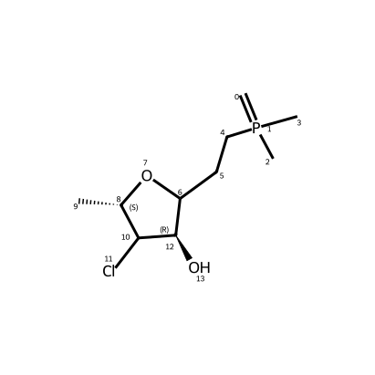 C=P(C)(C)CCC1O[C@@H](C)C(Cl)[C@@H]1O